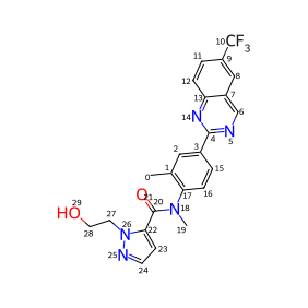 Cc1cc(-c2ncc3cc(C(F)(F)F)ccc3n2)ccc1N(C)C(=O)c1ccnn1CCO